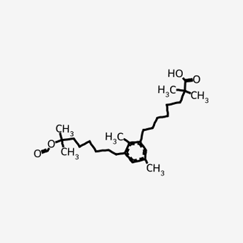 Cc1cc(CCCCCCC(C)(C)OC=O)c(C)c(CCCCCCC(C)(C)C(=O)O)c1